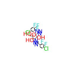 OC[C@H]1O[C@@H](c2nncn2-c2cc(Cl)ccc2C(F)(F)F)[C@H](O)[C@@H](n2cc(-c3ccc(Cl)c(F)c3F)nn2)[C@H]1O